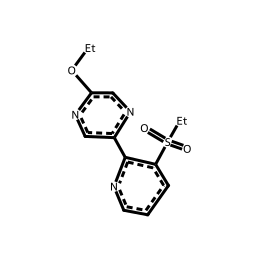 CCOc1cnc(-c2ncccc2S(=O)(=O)CC)cn1